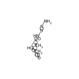 C[C@]12CC[C@H](OC(=O)NCCCN3CCN(CCCN)CC3)CC1CCC1C2CC[C@]2(C)[C@@H](c3ccc(=O)oc3)CC[C@]12O